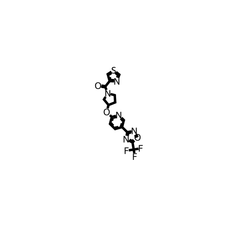 O=C(c1cscn1)N1CCC(Oc2ccc(-c3noc(C(F)(F)F)n3)cn2)C1